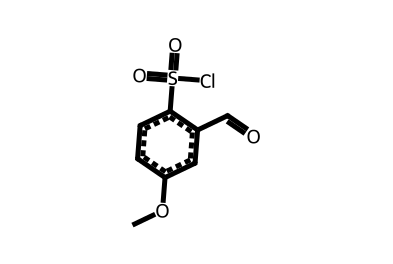 COc1ccc(S(=O)(=O)Cl)c(C=O)c1